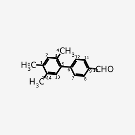 Cc1cc(C)c(-c2ccc(C=O)cc2)cc1C